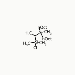 CCCCCCCC[Si](C)(CCCCCCCC)C(C)[Si](C)(C)Cl